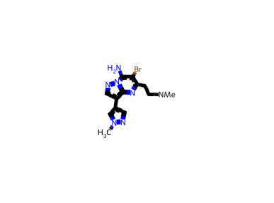 CNCCc1nc2c(-c3cnn(C)c3)cnn2c(N)c1Br